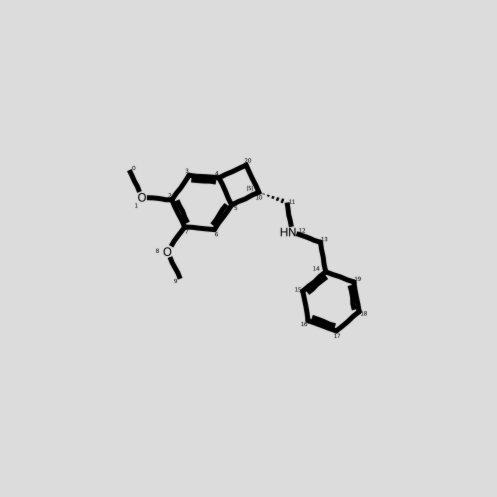 COc1cc2c(cc1OC)[C@@H](CNCc1ccccc1)C2